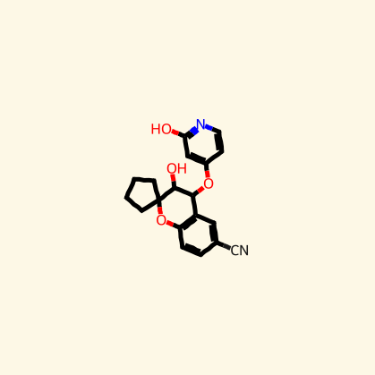 N#Cc1ccc2c(c1)C(Oc1ccnc(O)c1)C(O)C1(CCCC1)O2